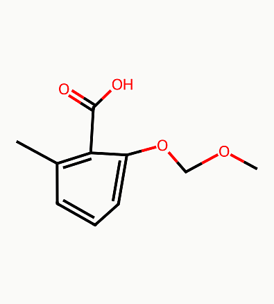 COCOc1cccc(C)c1C(=O)O